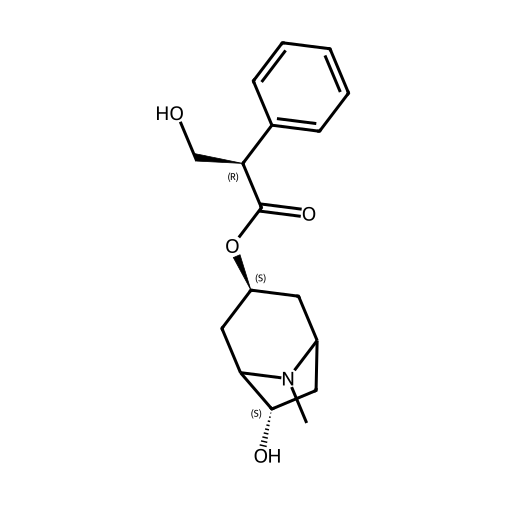 CN1C2C[C@H](OC(=O)[C@@H](CO)c3ccccc3)CC1[C@@H](O)C2